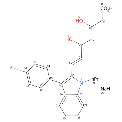 CCCn1c(/C=C/C(O)CC(O)CC(=O)O)c(-c2ccc(F)cc2)c2ccccc21.[NaH]